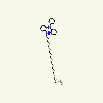 CCCCCCCCCCCCCCCCCCNc1ccccc1N(c1ccccc1)c1ccccc1